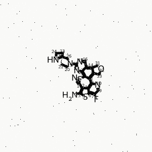 N#Cc1c(N)sc2c(F)cnc(-c3c4c(c5cnc(N6CC[C@]7(CCN7)C6)nc5c3F)COC4)c12